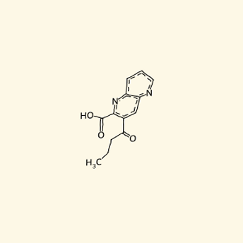 CCCC(=O)c1cc2ncccc2nc1C(=O)O